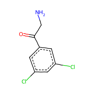 NCC(=O)c1cc(Cl)cc(Cl)c1